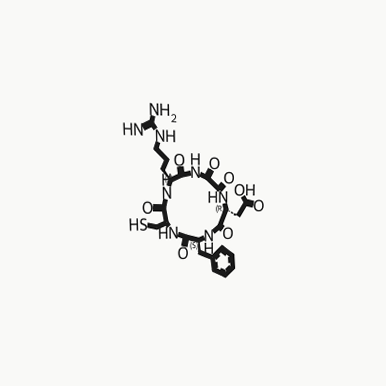 N=C(N)NCCC[C@@H]1NC(=O)C(CS)NC(=O)[C@H](Cc2ccccc2)NC(=O)[C@@H](CC(=O)O)NC(=O)C(=O)NC1=O